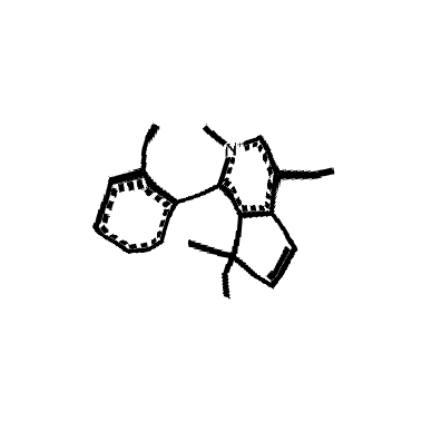 Cc1ccccc1-c1c2c(c(C)c[n+]1C)C=CC2(C)C